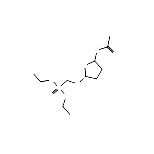 CCOP(=O)(CO[C@@H]1CCC(OC(C)=O)O1)OCC